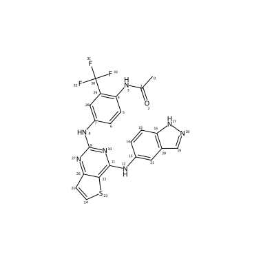 CC(=O)Nc1ccc(Nc2nc(Nc3ccc4[nH]ncc4c3)c3sccc3n2)cc1C(F)(F)F